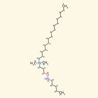 CCCCCCCCCCCCCCCCC[N+](C)(C)CCCONCCCCC